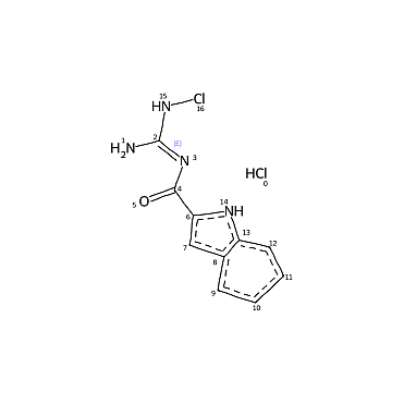 Cl.N/C(=N\C(=O)c1cc2ccccc2[nH]1)NCl